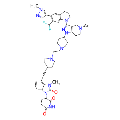 CC(=O)N1CCc2c(c(N3CCCc4cc(-c5cnn(C)c5)c(C(F)F)cc43)nn2C2CCN(CCN3CCC(C#Cc4cccc5c4n(C)c(=O)n5C4CCC(=O)NC4=O)CC3)CC2)C1